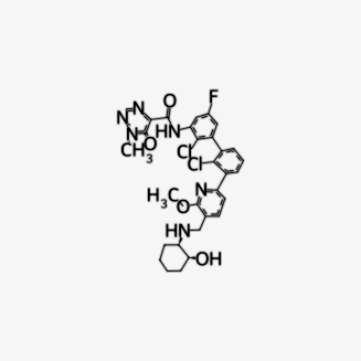 COc1nc(-c2cccc(-c3cc(F)cc(NC(=O)c4ncnn(C)c4=O)c3Cl)c2Cl)ccc1CN[C@@H]1CCCC[C@@H]1O